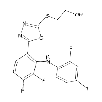 OCCSc1nnc(-c2ccc(F)c(F)c2Nc2ccc(I)cc2F)o1